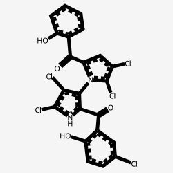 O=C(c1cc(Cl)ccc1O)c1[nH]c(Cl)c(Cl)c1-n1c(C(=O)c2ccccc2O)cc(Cl)c1Cl